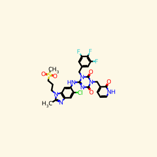 Cc1nc2cc(Cl)c(Nc3nc(=O)n(Cc4ccc[nH]c4=O)c(=O)n3Cc3cc(F)c(F)c(F)c3)cc2n1CCCS(C)(=O)=O